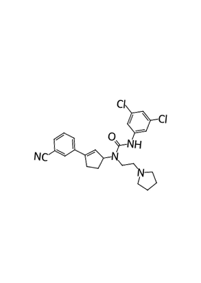 N#Cc1cccc(C2=CC(N(CCN3CCCC3)C(=O)Nc3cc(Cl)cc(Cl)c3)CC2)c1